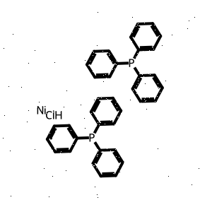 Cl.[Ni].c1ccc(P(c2ccccc2)c2ccccc2)cc1.c1ccc(P(c2ccccc2)c2ccccc2)cc1